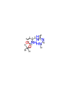 C=CC(CNC(=C)/N=C\NC)NC(=O)OC(C)(C)C